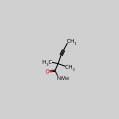 CC#CC(C)(C)C(=O)NC